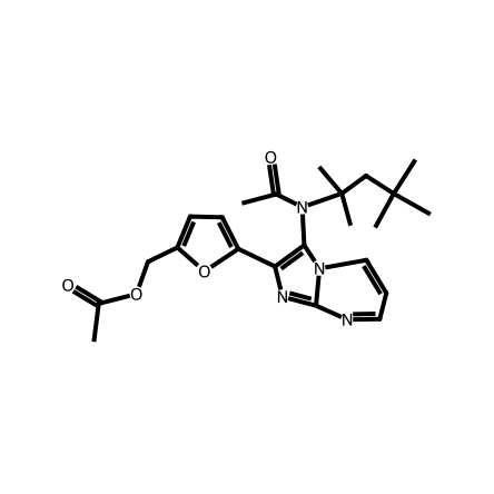 CC(=O)OCc1ccc(-c2nc3ncccn3c2N(C(C)=O)C(C)(C)CC(C)(C)C)o1